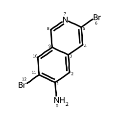 Nc1cc2cc(Br)ncc2cc1Br